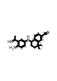 CC(=N)c1cc(NC2CCC(C)(C)c3cc(C#N)ccc32)ccc1N